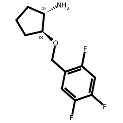 N[C@H]1CCC[C@@H]1OCc1cc(F)c(F)cc1F